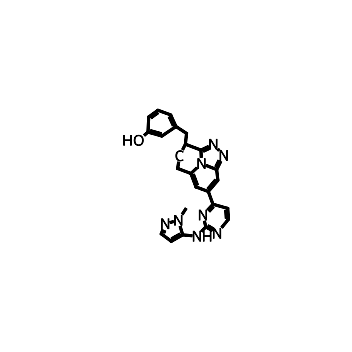 Cn1nccc1Nc1nccc(-c2cc3n4c(nnc4c2)C(Cc2cccc(O)c2)CC3)n1